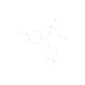 Brc1ccc(CC2CCNCC2)cc1.CC(C)(C)OC=O